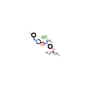 CC(C)Oc1ccc(N(C)CCC2(O)CCN(Cc3cccc(F)c3)CC2)cc1.Cl.Cl